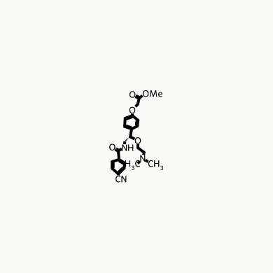 COC(=O)COc1ccc([C@@H](CNC(=O)c2ccc(C#N)cc2)OCCN(C)C)cc1